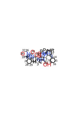 CCCCCC(=O)N(N)C(Cc1ccccc1-c1ccccc1)(C(=O)NC(Cc1ccccc1)C(=O)NC(=O)N1CCOCC1)C(C)CO